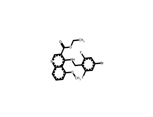 CCOC(=O)c1cnc2cccc(OC)c2c1NCc1c(F)cc(Br)cc1F